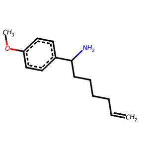 C=CCCCCC(N)c1ccc(OC)cc1